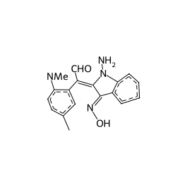 CNc1ccc(C)cc1/C(C=O)=C1\C(=N\O)c2ccccc2N1N